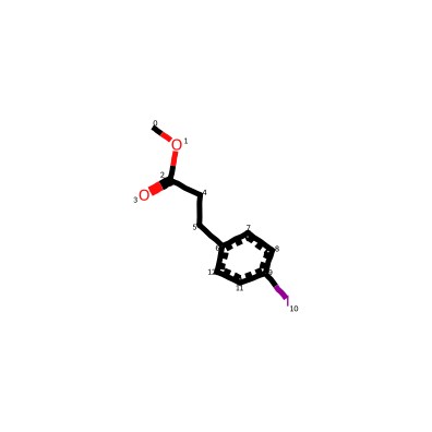 COC(=O)CCc1ccc(I)cc1